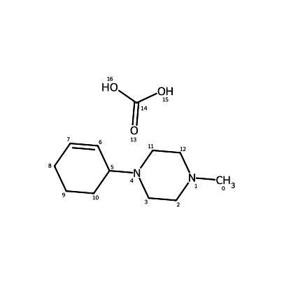 CN1CCN(C2C=CCCC2)CC1.O=C(O)O